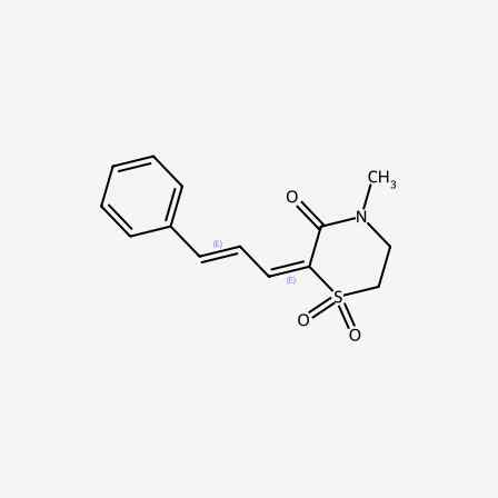 CN1CCS(=O)(=O)/C(=C/C=C/c2ccccc2)C1=O